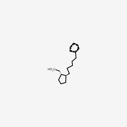 O=C(O)C[C@H]1CCC[C@@H]1CCCCCc1ccccc1